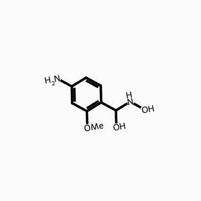 COc1cc(N)ccc1C(O)NO